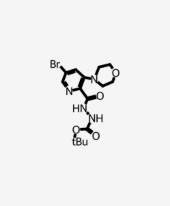 CC(C)(C)OC(=O)NNC(=O)c1ncc(Br)cc1N1CCOCC1